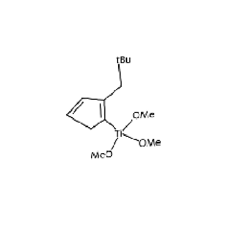 C[O][Ti]([O]C)([O]C)[C]1=C(CC(C)(C)C)C=CC1